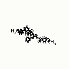 COC1CCN(C(=O)CCCc2cn(-c3ccccc3)c(NC(=O)c3cccc(-c4cnn(C)c4)c3)n2)CC1